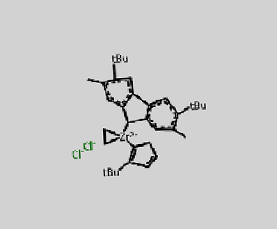 Cc1cc2c(cc1C(C)(C)C)-c1cc(C(C)(C)C)c(C)cc1[CH]2[Zr+2]1([C]2=C(C(C)(C)C)C=CC2)[CH2][CH2]1.[Cl-].[Cl-]